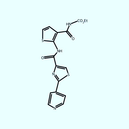 CCOC(=O)NC(=O)c1ccsc1NC(=O)c1csc(-c2ccncc2)n1